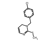 CSC1=NC=CCN1Cc1ccc(Cl)cc1